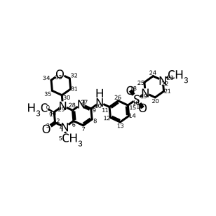 C[C@@H]1C(=O)N(C)c2ccc(Nc3cccc(S(=O)(=O)N4CCN(C)CC4)c3)nc2N1C1CCOCC1